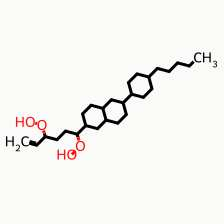 C=CC(CCC(OO)C1CCC2CC(C3CCC(CCCCC)CC3)CCC2C1)OO